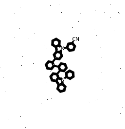 N#Cc1cccc(-n2c3ccccc3c3cc(-c4ccccc4-c4ccccc4-c4cccc5c6ccccc6n(-c6ccccc6)c45)ccc32)c1